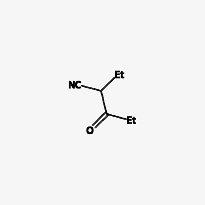 CCC(=O)C(C#N)CC